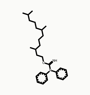 CC(C)CCCC(C)CCCC(C)CCOC(=N)N(c1ccccc1)c1ccccc1